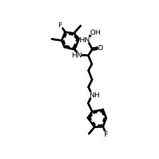 Cc1cc(CNCCCCC(Nc2cc(C)c(F)c(C)c2)C(=O)NO)ccc1F